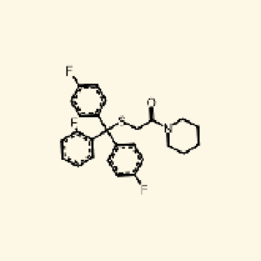 O=C(CSC(c1ccc(F)cc1)(c1ccc(F)cc1)c1ccccc1F)N1CCCCC1